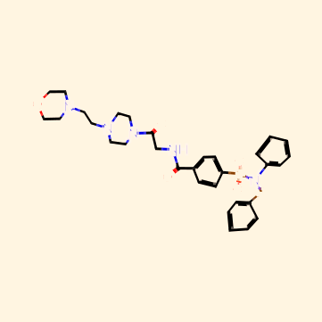 O=C(NCC(=O)N1CCN(CCN2CCOCC2)CC1)c1ccc(S(=O)(=O)N(Sc2ccccc2)c2ccccc2)cc1